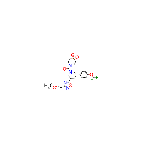 COCCc1noc(C2CC(c3ccc(OC(F)F)cc3)CN(C(=O)N3CCS(=O)(=O)CC3)C2)n1